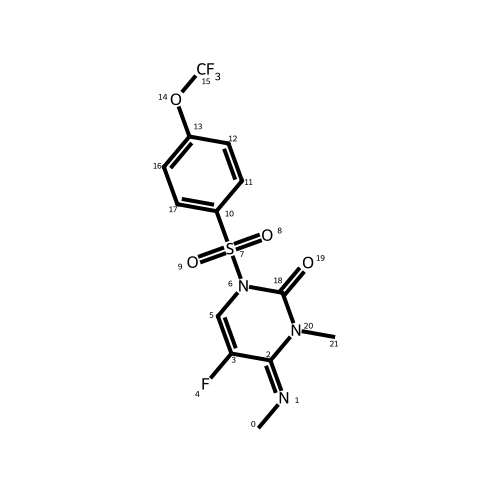 C/N=c1\c(F)cn(S(=O)(=O)c2ccc(OC(F)(F)F)cc2)c(=O)n1C